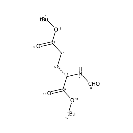 CC(C)(C)OC(=O)CC[C@H](NC=O)C(=O)OC(C)(C)C